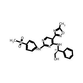 Cc1nc(-c2cnc(Nc3ccc(S(C)(=O)=O)cc3)nc2N[C@H](CO)c2ccccc2)no1